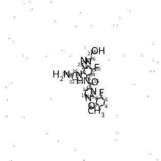 COc1cccc(F)c1-c1nccc(C(=O)Nc2cc(F)c3c(cnn3CCO)c2N2CC[C@@H](N)C2)n1